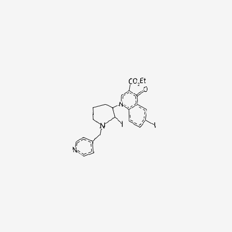 CCOC(=O)c1cn(C2CCCN(Cc3ccncc3)C2I)c2ccc(I)cc2c1=O